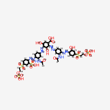 CC(=O)Nc1cc(N=Nc2c(C(=O)O)cc(O)c(N=Nc3ccc(N=Nc4ccc(S(=O)(=O)CCOS(=O)(=O)O)cc4S(=O)(=O)O)c(NC(C)=O)c3)c2O)ccc1N=Nc1ccc(S(=O)(=O)CCOS(=O)(=O)O)cc1O